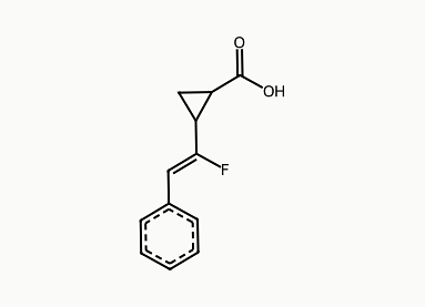 O=C(O)C1CC1C(F)=Cc1ccccc1